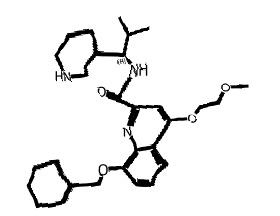 COCCOc1cc(C(=O)N[C@H](C(C)C)C2CCCNC2)nc2c(OCC3CCCCC3)cccc12